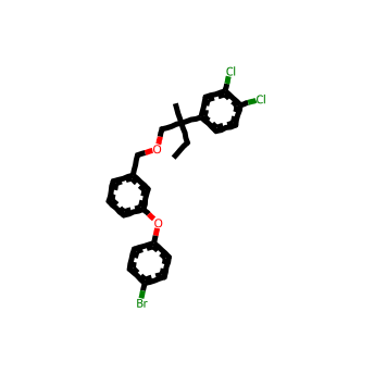 CCC(C)(COCc1cccc(Oc2ccc(Br)cc2)c1)c1ccc(Cl)c(Cl)c1